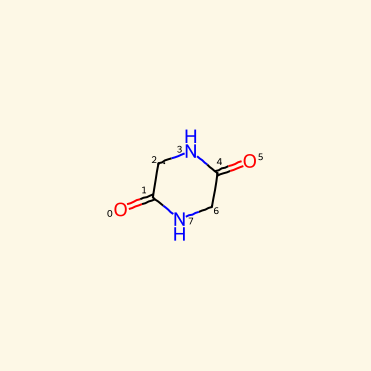 O=C1[CH]NC(=O)CN1